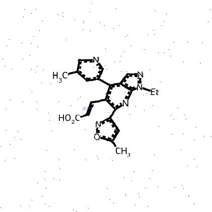 CCn1ncc2c(-c3cncc(C)c3)c(/C=C/C(=O)O)c(-c3cc(C)on3)nc21